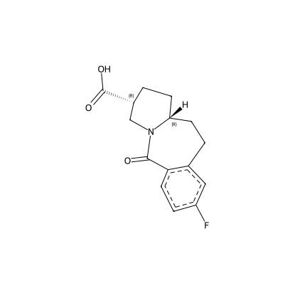 O=C(O)[C@@H]1CC[C@@H]2CCc3cc(F)ccc3C(=O)N2C1